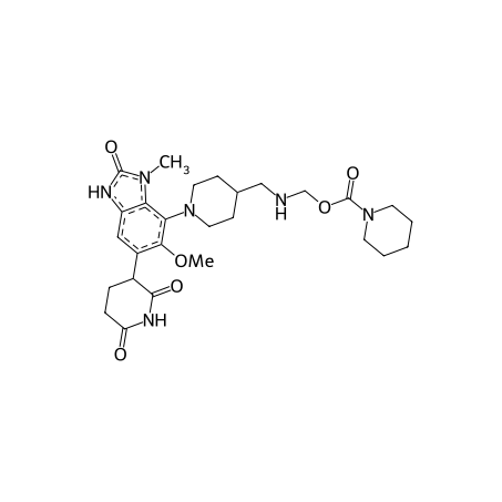 COc1c(C2CCC(=O)NC2=O)cc2[nH]c(=O)n(C)c2c1N1CCC(CNCOC(=O)N2CCCCC2)CC1